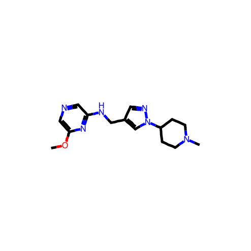 COc1cncc(NCc2cnn(C3CCN(C)CC3)c2)n1